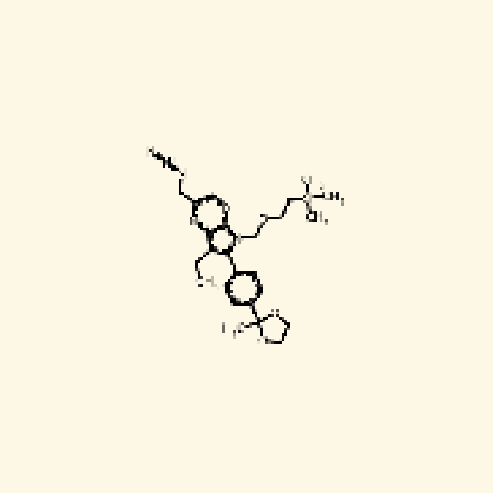 CCc1c(-c2ccc(C3(C)OCCO3)cc2)n(COCC[Si](C)(C)C)c2ncc(CN=[N+]=[N-])nc12